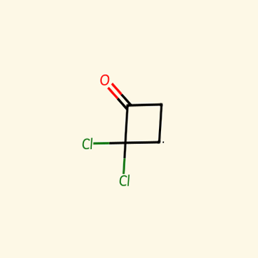 O=C1C[CH]C1(Cl)Cl